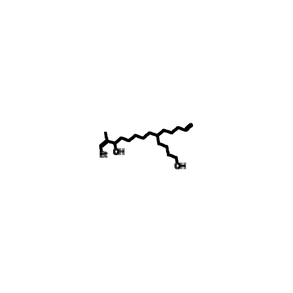 C=CCCCC(CCCCO)CCCCCC(O)C(C)=CCC